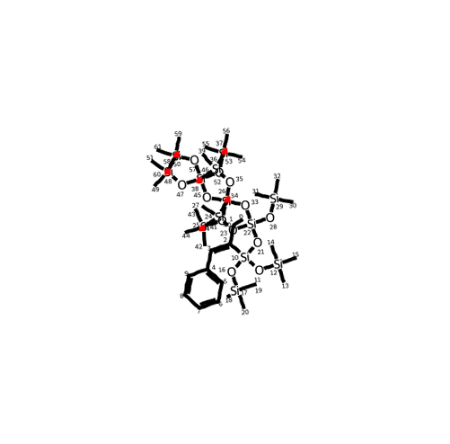 CCC(=Cc1ccccc1)[Si](O[Si](C)(C)C)(O[Si](C)(C)C)O[Si](O[Si](C)(C)C)(O[Si](C)(C)C)O[Si](O[Si](C)(C)C)(O[Si](C)(C)C)O[Si](O[Si](C)(C)C)(O[Si](C)(C)C)O[Si](C)(C)C